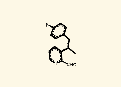 CC(Cc1ccc(F)cc1)c1cccnc1C=O